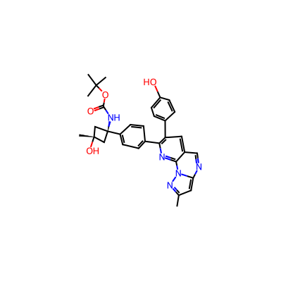 Cc1cc2ncc3cc(-c4ccc(O)cc4)c(-c4ccc([C@]5(NC(=O)OC(C)(C)C)C[C@](C)(O)C5)cc4)nc3n2n1